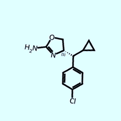 NC1=N[C@@H](C(c2ccc(Cl)cc2)C2CC2)CO1